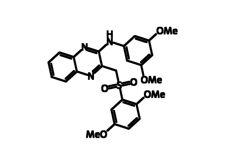 COc1cc(Nc2nc3ccccc3nc2CS(=O)(=O)c2cc(OC)ccc2OC)cc(OC)c1